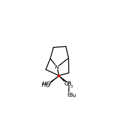 CC(C)(C)OC(O)N1C2CCC1CC(O)(C(F)(F)F)C2